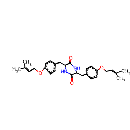 CC(C)=CCOc1ccc(CC2NC(=O)C(Cc3ccc(OCC=C(C)C)cc3)NC2=O)cc1